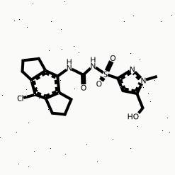 Cn1nc(S(=O)(=O)NC(=O)Nc2c3c(c(Cl)c4c2CCC4)CCC3)cc1CO